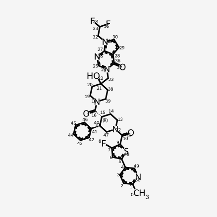 Cc1ccc(-c2cc(F)c(C(=O)N3CC[C@@H](C(=O)N4CCC(O)(Cn5cnc6c(ccn6CC(F)F)c5=O)CC4)[C@H](c4ccccc4)C3)s2)cn1